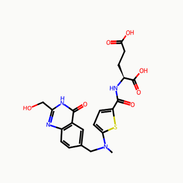 CN(Cc1ccc2nc(CO)[nH]c(=O)c2c1)c1ccc(C(=O)N[C@@H](CCC(=O)O)C(=O)O)s1